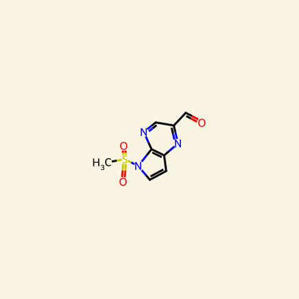 CS(=O)(=O)n1ccc2nc(C=O)cnc21